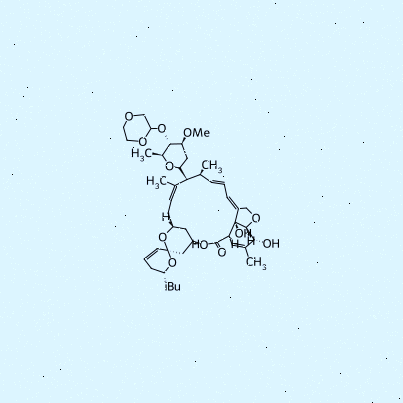 CCC(C)[C@@H]1CC=C[C@]2(C[C@@H]3C[C@@H](C/C=C(\C)[C@@H](C4C[C@H](OC)[C@@H](OC5COCCO5)[C@H](C)O4)[C@@H](C)/C=C/C=C4\CO[C@@H]5[C@H](O)C(C)=C[C@@H](C(=O)O3)[C@]45O)O2)O1